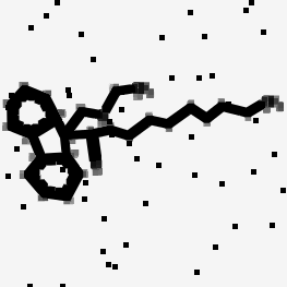 CCCCCCCCCC(=O)C1(COCC)c2ccccc2-c2ccccc21